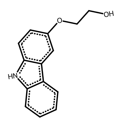 OCCOc1ccc2[nH]c3ccccc3c2c1